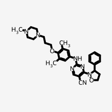 Cc1cc(Nc2ncc(C#N)c(N3OCCC3c3ccccc3)n2)cc(C)c1OCCCN1CCN(C)CC1